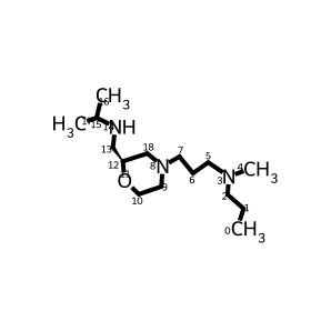 CCCN(C)CCCN1CCO[C@@H](CNC(C)C)C1